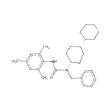 Cc1cc(C)c(NC(=O)N(Cc2ccccc2)[C@H]2CC[C@@H](C3CCCCC3)CC2)c(C)c1